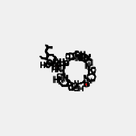 CCC1OC(O)(C(C)(O)C(=O)NC2C(=O)N3NCCCC3C(=O)N(O)CC(=O)N3C(CCCN3C)C(=O)N3CCC(C)(O)C3C(=O)N(O)C(C(C)C)C(=O)OC2C(C)C)CCC1CC(C)C